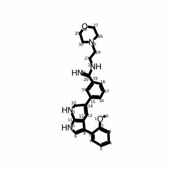 COc1ccccc1-c1c[nH]c2c1C=C(c1cccc(C(=N)NCCN3CCOCC3)c1)CN2